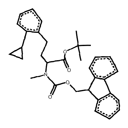 CN(C(=O)OCC1c2ccccc2-c2ccccc21)C(CCc1ccccc1C1CC1)C(=O)OC(C)(C)C